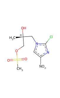 C[C@](O)(COS(C)(=O)=O)Cn1cc([N+](=O)[O-])nc1Cl